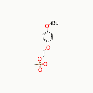 CCC(C)Oc1ccc(OCCOS(C)(=O)=O)cc1